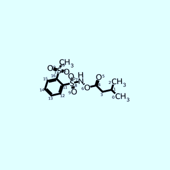 CC(C)CC(=O)ONS(=O)(=O)c1ccccc1S(C)(=O)=O